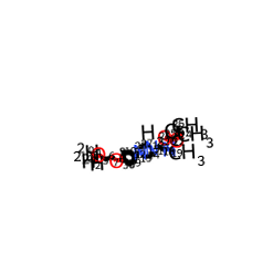 [2H]C([2H])([2H])OCCOc1ccc(N2CCN(CCN(C)C(=O)OC(C)(C)C)CC2)cc1